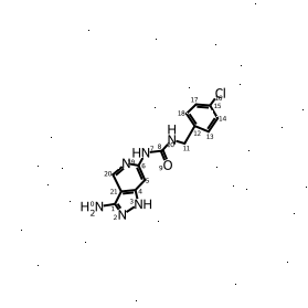 Nc1n[nH]c2cc(NC(=O)NCc3ccc(Cl)cc3)ncc12